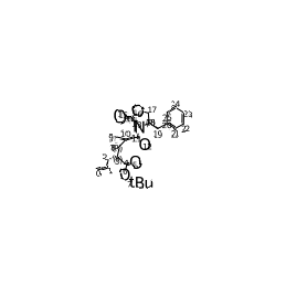 C=CC[C@@H](C(=O)OC(C)(C)C)[C@@H]1CC1C(=O)N1C(=O)OC[C@H]1Cc1ccccc1